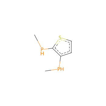 CPc1ccsc1PC